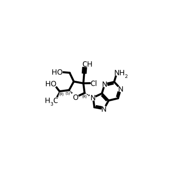 C#CC1(Cl)C(CO)[C@@H]([C@@H](C)O)O[C@H]1n1cnc2cnc(N)nc21